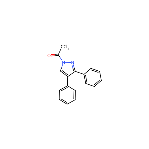 O=C(n1cc(-c2ccccc2)c(-c2ccccc2)n1)C(Cl)(Cl)Cl